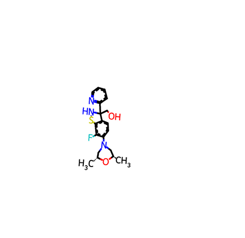 C[C@@H]1CN(c2ccc3c(c2F)SNC3(CO)c2ccccn2)C[C@H](C)O1